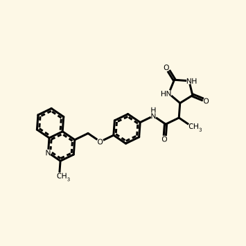 Cc1cc(COc2ccc(NC(=O)C(C)C3NC(=O)NC3=O)cc2)c2ccccc2n1